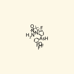 CN1C(=O)C(C)(C)C(C)(c2cc([AsH]c3ccccc3OC(F)(F)F)ccc2F)N=C1N